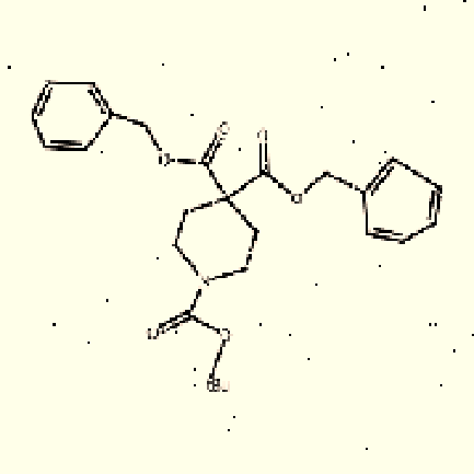 CC(C)(C)OC(=O)N1CCC(C(=O)OCc2ccccc2)(C(=O)OCc2ccccc2)CC1